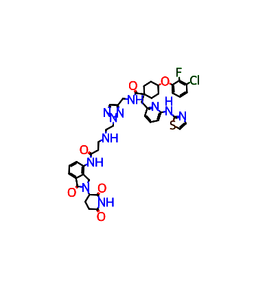 O=C1CCC(N2Cc3c(NC(=O)CCNCCn4ncc(CNC(=O)[C@]5(Cc6cccc(Nc7nccs7)n6)CC[C@@H](Oc6cccc(Cl)c6F)CC5)n4)cccc3C2=O)C(=O)N1